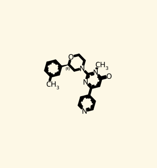 Cc1cccc([C@@H]2CN(c3nc(-c4ccncc4)cc(=O)n3C)CCO2)c1